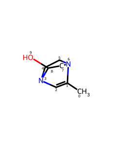 CC1=CN2CCN1CC2O